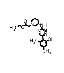 CCOC(=O)CN1CCC[C@@H](Nc2ncc(-c3c(C)cc(C)cc3O)nn2)C1